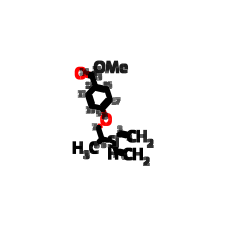 C=C[SiH](C=C)C(C)COc1ccc(C(=O)OC)cc1